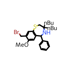 CCCCC1(CCCC)CSc2cc(CBr)c(OC)cc2C(c2ccccc2)N1